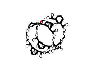 CC1CN2CCOC(=O)c3cccc(c3O)C(=O)OCCN(CCOC(=O)c3cccc(c3O)C(=O)O1)CCN1CCOC(=O)c3cccc(c3O)C(=O)OCCN(CCOC(=O)c3cccc(c3O)C(=O)OCC1)CC2